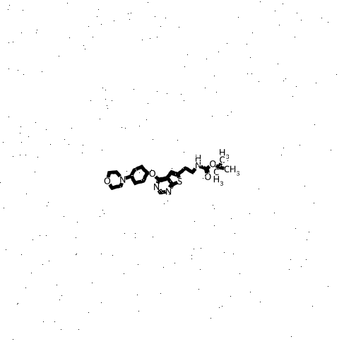 CC(C)(C)OC(=O)NCCc1cc2c(OC3CCC(N4CCOCC4)CC3)ncnc2s1